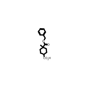 CC1(C(=O)OCc2ccccc2)CCC(C(=O)O)CC1